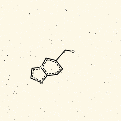 [O]Cc1ccc2nccn2c1